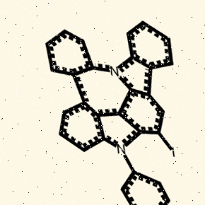 Ic1cc2c3ccccc3n3c4ccccc4c4cccc5c4c(c1n5-c1ccccc1)c23